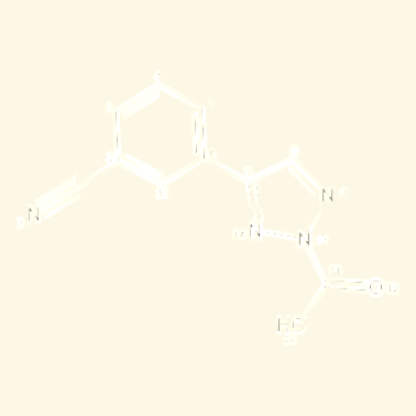 N#Cc1cccc(-c2cnn(C(=O)O)n2)c1